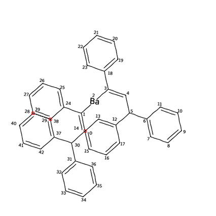 C(=[C]([Ba][C](=CC(c1ccccc1)c1ccccc1)c1ccccc1)c1ccccc1)C(c1ccccc1)c1ccccc1